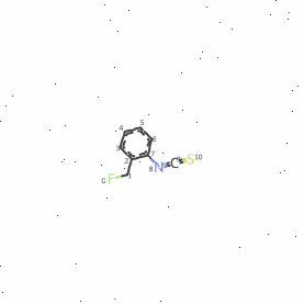 FCc1ccccc1N=C=S